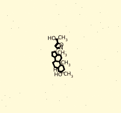 C[C@H](O)c1cc([C@H]2CCC3C4CC[C@H]5C[C@](C)(O)CC[C@]5(C)C4CC[C@@]32C)no1